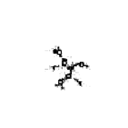 COc1ccc(N=Nc2cc(OCCCS(=O)(=O)O)c(Nc3nc(NCCc4ccc(C(=O)O)cc4)nc(Nc4cc(Cl)c(N=Nc5ccc(OC)c(S(=O)(=O)O)c5)cc4OCCCS(=O)(=O)O)n3)cc2Cl)cc1S(=O)(=O)O